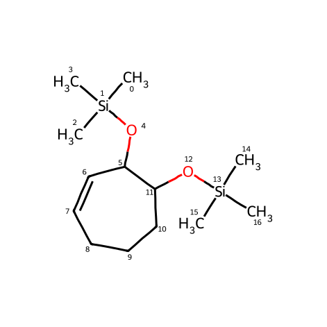 C[Si](C)(C)OC1C=CCCCC1O[Si](C)(C)C